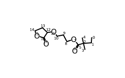 CCC(C)(C)C(=O)OCCCOC1CCOC1=O